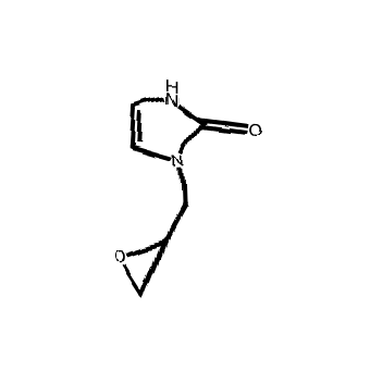 O=c1[nH]ccn1CC1CO1